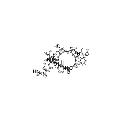 CCn1c(-c2cnccc2COC)c2c3cc(ccc31)-c1cc(O)cc(c1)C[C@H](NC(=O)[C@H](C(C)C)N(C)C(=O)C1CCN(C(=O)[C@H]3CN3)CC1)C(=O)N1CCC[C@H](N1)C(=O)OCC(C)(C)C2